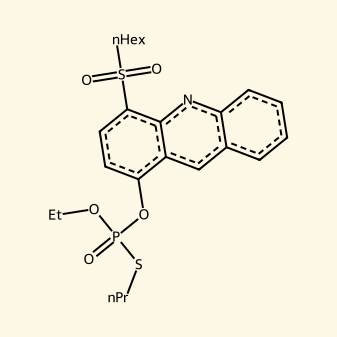 CCCCCCS(=O)(=O)c1ccc(OP(=O)(OCC)SCCC)c2cc3ccccc3nc12